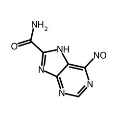 NC(=O)c1nc2ncnc(N=O)c2[nH]1